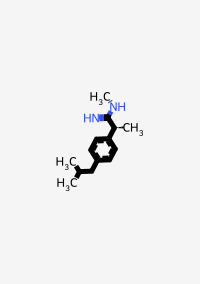 CNC(=N)[C@H](C)c1ccc(CC(C)C)cc1